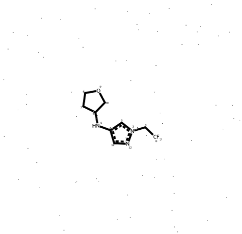 FC(F)(F)Cn1cc(NC2CCOC2)cn1